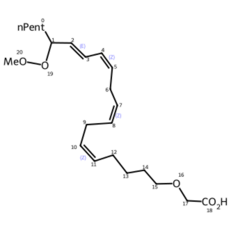 CCCCCC(/C=C/C=C\C/C=C\C/C=C\CCCCOCC(=O)O)OOC